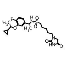 C[C@@H](NS(=O)(=O)CCCCCN1CC(=O)NC1=O)c1ccc(F)c(O[C@H](C)C2CC2)c1